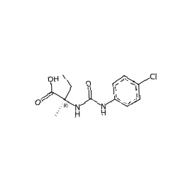 CC[C@@](C)(NC(=O)Nc1ccc(Cl)cc1)C(=O)O